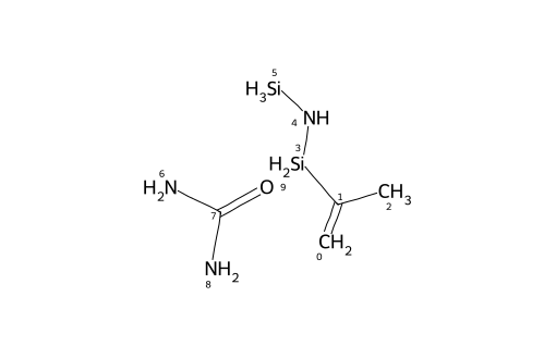 C=C(C)[SiH2]N[SiH3].NC(N)=O